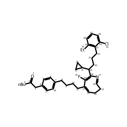 CCCCC(=O)Cc1ccc(CCCCC2=C/CC/C=N/C(C(CCCc3c(Cl)cccc3CC)C3CC3)=C\2F)cc1